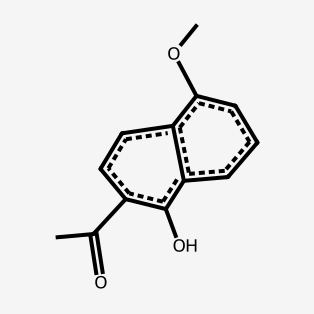 COc1cccc2c(O)c(C(C)=O)ccc12